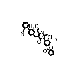 CCCc1nc(CC)n(-c2ccc(OC3(C=O)CCCC3)cc2)c(=O)c1Cc1ccc(-c2ccccc2C#N)cc1